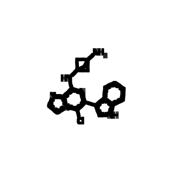 NC12CC(Nc3nc(-c4c[nH]c5ccccc45)c(Cl)n4ccnc34)(C1)C2